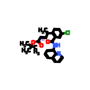 C=C(/C=C/C(=O)OC(C)(C)C)c1ccc(Cl)cc1C(=O)Nc1cccc2cccnc12